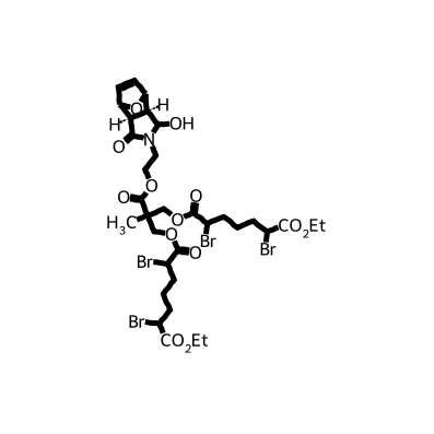 CCOC(=O)C(Br)CCCC(Br)C(=O)OCC(C)(COC(=O)C(Br)CCCC(Br)C(=O)OCC)C(=O)OCCN1C(=O)[C@H]2C3C=CC(O3)[C@H]2C1O